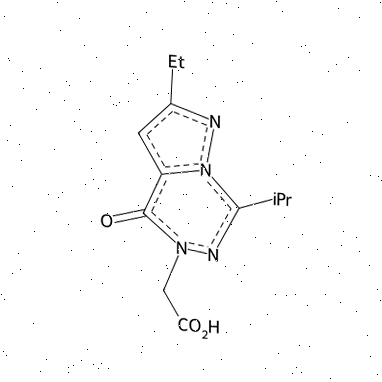 CCc1cc2c(=O)n(CC(=O)O)nc(C(C)C)n2n1